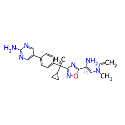 C=CN(C)/C=C(\N)c1nc(C(C)(c2ccc(-c3cnc(N)nc3)cc2)C2CC2)no1